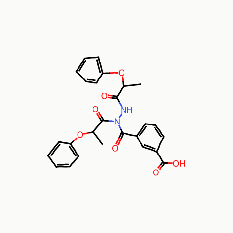 CC(Oc1ccccc1)C(=O)NN(C(=O)c1cccc(C(=O)O)c1)C(=O)C(C)Oc1ccccc1